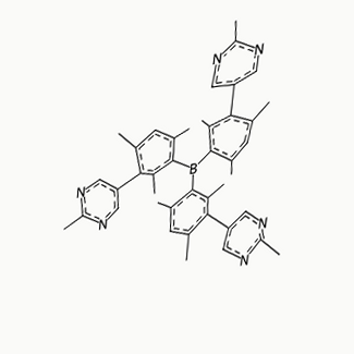 Cc1ncc(-c2c(C)cc(C)c(B(c3c(C)cc(C)c(-c4cnc(C)nc4)c3C)c3c(C)cc(C)c(-c4cnc(C)nc4)c3C)c2C)cn1